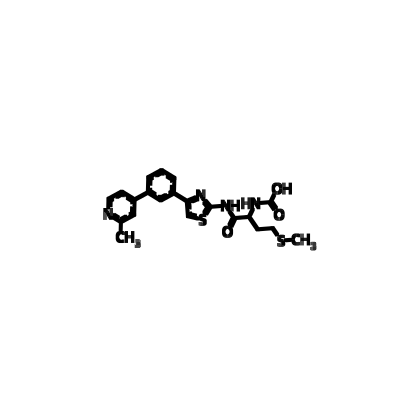 CSCCC(NC(=O)O)C(=O)Nc1nc(-c2cccc(-c3ccnc(C)c3)c2)cs1